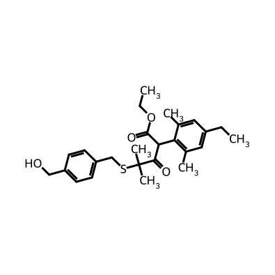 CCOC(=O)C(C(=O)C(C)(C)SCc1ccc(CO)cc1)c1c(C)cc(CC)cc1C